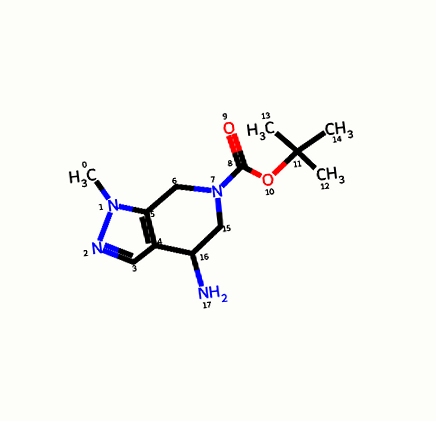 Cn1ncc2c1CN(C(=O)OC(C)(C)C)CC2N